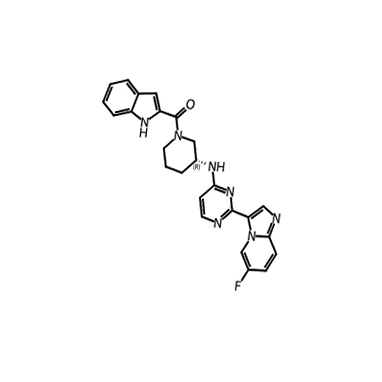 O=C(c1cc2ccccc2[nH]1)N1CCC[C@@H](Nc2ccnc(-c3cnc4ccc(F)cn34)n2)C1